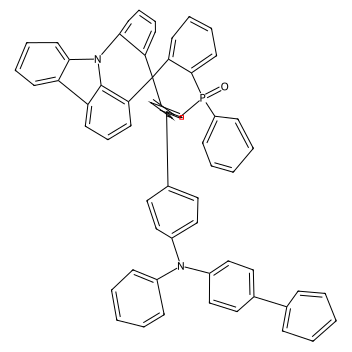 O=P1(c2ccccc2)c2ccccc2C2(c3ccccc3-n3c4ccccc4c4cccc2c43)c2ccc(-c3ccc(N(c4ccccc4)c4ccc(-c5ccccc5)cc4)cc3)cc21